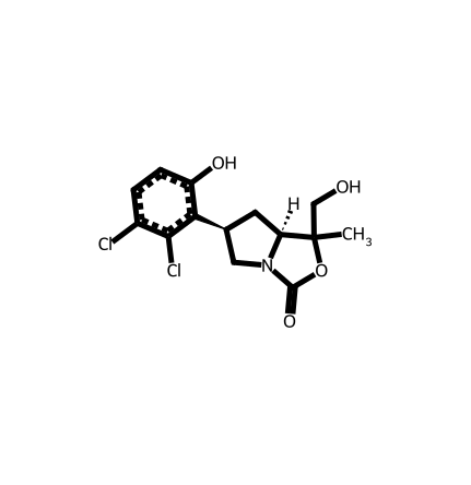 CC1(CO)OC(=O)N2C[C@@H](c3c(O)ccc(Cl)c3Cl)C[C@H]21